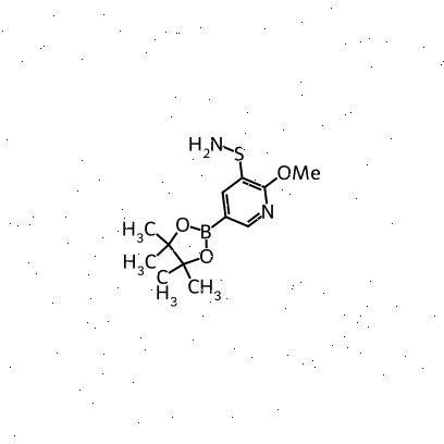 COc1ncc(B2OC(C)(C)C(C)(C)O2)cc1SN